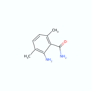 Cc1ccc(C)c(C(N)=O)c1N